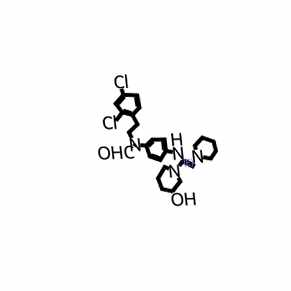 O=CN(CCc1ccc(Cl)cc1Cl)c1ccc(N/C(=C\N2CCCCC2)N2CCCC(O)C2)cc1